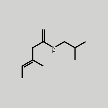 C=C(C/C(C)=C/C)NCC(C)C